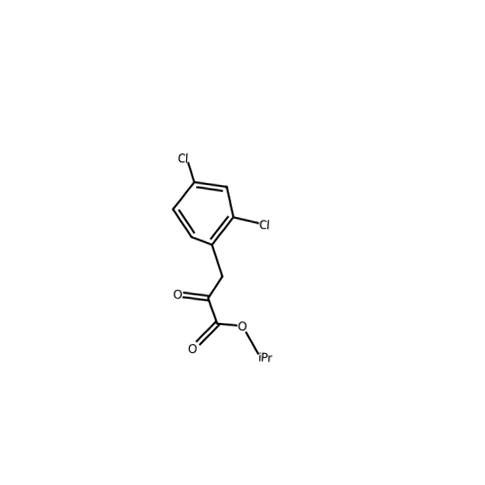 CC(C)OC(=O)C(=O)Cc1ccc(Cl)cc1Cl